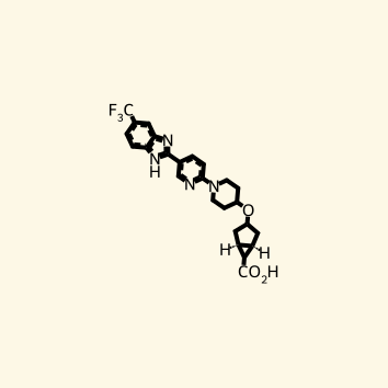 O=C(O)C1[C@H]2CC(OC3CCN(c4ccc(-c5nc6cc(C(F)(F)F)ccc6[nH]5)cn4)CC3)C[C@@H]12